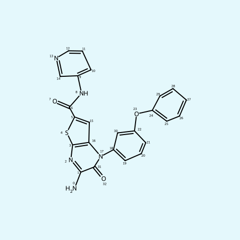 Nc1nc2sc(C(=O)Nc3cccnc3)cc2n(-c2cccc(Oc3ccccc3)c2)c1=O